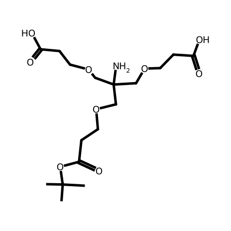 CC(C)(C)OC(=O)CCOCC(N)(COCCC(=O)O)COCCC(=O)O